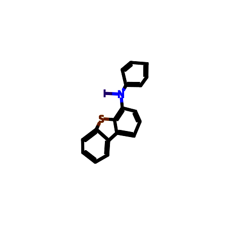 IN(c1ccccc1)c1cccc2c1sc1ccccc12